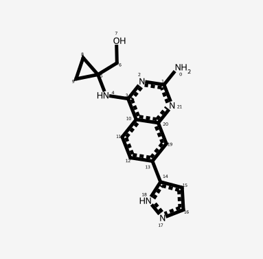 Nc1nc(NC2(CO)CC2)c2ccc(-c3ccn[nH]3)cc2n1